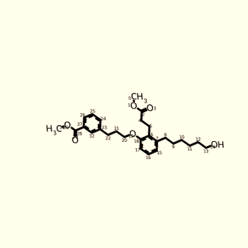 COC(=O)CCc1c(CCCCCCO)cccc1OCCCc1cccc(C(=O)OC)c1